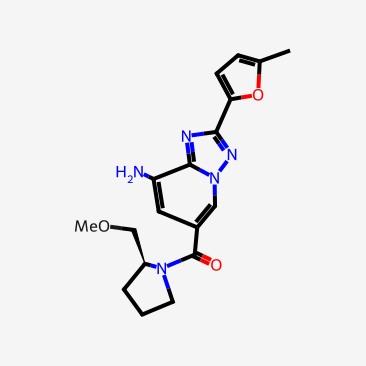 COC[C@@H]1CCCN1C(=O)c1cc(N)c2nc(-c3ccc(C)o3)nn2c1